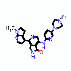 CC(C)N1CCN(c2ccc(Nc3cnc(-c4ccnc5c4ccn5C)c4c3C(=O)NC4)nc2)CC1